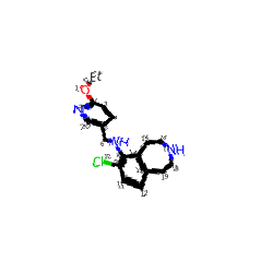 CCOc1ccc(CNc2c(Cl)ccc3c2CCNCC3)cn1